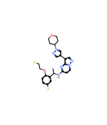 CC(Nc1ccn2ncc(-c3cnn(C4CCOCC4)c3)c2n1)c1cc(F)ccc1OCCF